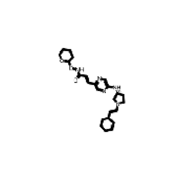 O=C(C=Cc1cnc(N[C@@H]2CCN(CCC3CCCCC3)C2)cn1)NOC1CCCCO1